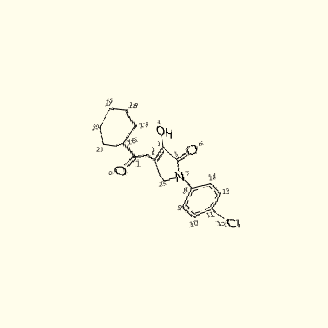 O=C(C1=C(O)C(=O)N(c2ccc(Cl)cc2)C1)C1CCCCC1